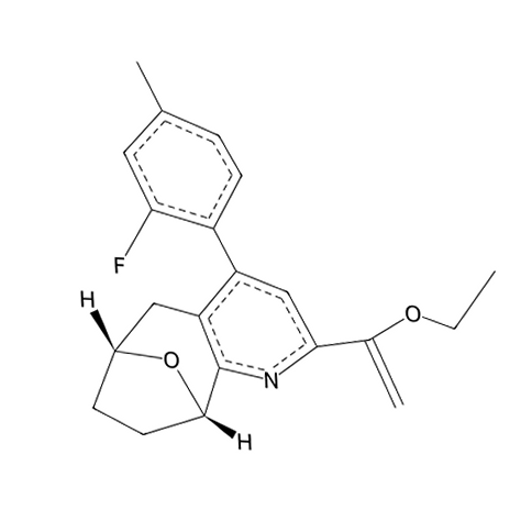 C=C(OCC)c1cc(-c2ccc(C)cc2F)c2c(n1)[C@@H]1CC[C@H](C2)O1